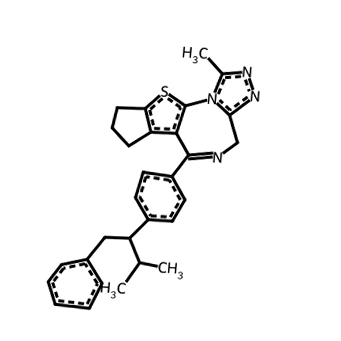 Cc1nnc2n1-c1sc3c(c1C(c1ccc(C(Cc4ccccc4)C(C)C)cc1)=NC2)CCC3